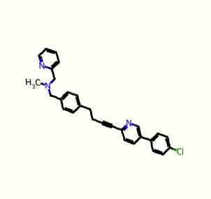 CN(Cc1ccc(CCC#Cc2ccc(-c3ccc(Cl)cc3)cn2)cc1)Cc1ccccn1